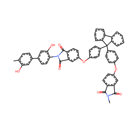 Cc1ccc(-c2ccc(N3C(=O)c4ccc(Oc5ccc(C6(c7ccc(Oc8ccc9c(c8)C(=O)N(C)C9=O)cc7)c7ccccc7-c7ccccc76)cc5)cc4C3=O)c(O)c2)cc1O